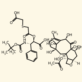 CC(=O)O[C@@]12CO[C@@H]1C[C@H](O)[C@@]1(C)C(=O)[C@H](O)C3=C(C)[C@@H](OC(=O)[C@H](OC(=O)CSCC(=O)O)[C@@H](NC(=O)OC(C)(C)C)c4ccccc4)C[C@@](O)([C@@H](O)[C@H]21)C3(C)C